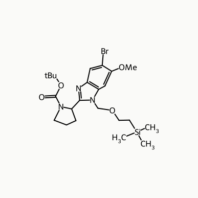 COc1cc2c(cc1Br)nc(C1CCCN1C(=O)OC(C)(C)C)n2COCC[Si](C)(C)C